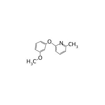 COc1cccc(Oc2cccc(C)n2)c1